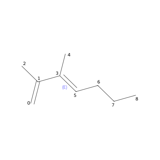 C=C(C)/C(C)=C/CCC